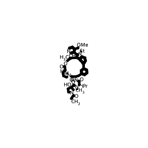 C=CC(=O)N1CC[C@](O)(C(=O)N(C)[C@H](C(=O)N[C@H]2Cc3cccc(c3)-c3ccc4c(c3)c(c(-c3cnccc3COC)n4CC)CC(C)(C)COC(=O)[C@@H]3CCCN(N3)C2=O)C(C)C)C1